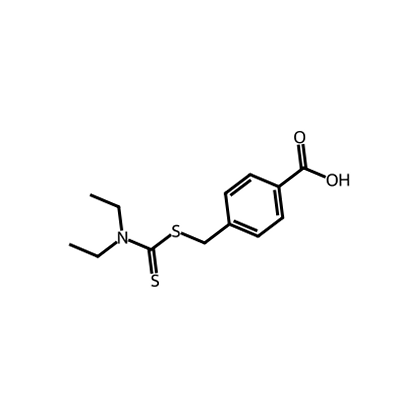 CCN(CC)C(=S)SCc1ccc(C(=O)O)cc1